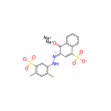 Cc1cc(C)c(S(=O)(=O)[O-])cc1N/N=C1\C=C(S(=O)(=O)[O-])c2ccccc2C1=O.[Na+].[Na+]